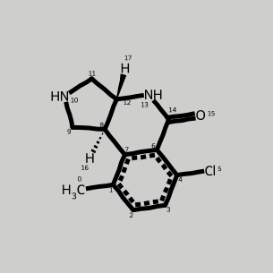 Cc1ccc(Cl)c2c1[C@H]1CNC[C@@H]1NC2=O